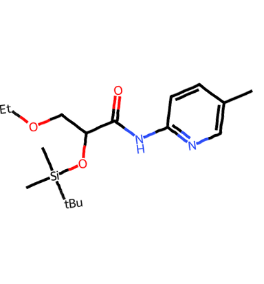 CCOCC(O[Si](C)(C)C(C)(C)C)C(=O)Nc1ccc(C)cn1